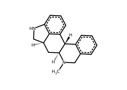 CN1Cc2ccccc2[C@H]2c3cccc4c3[C@H](CN4)C[C@@H]21